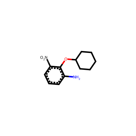 Nc1cccc([N+](=O)[O-])c1OC1CCCCC1